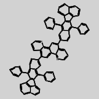 c1ccc(-c2c3c(c(-c4ccccc4)c4cc(-c5cc6c(cc(-c7ccc8c(-c9ccccc9)c9c(c(-c%10ccccc%10)c8c7)-c7cccc8cccc-9c78)c7cccnc76)c6ncccc56)ccc24)-c2cccc4cccc-3c24)cc1